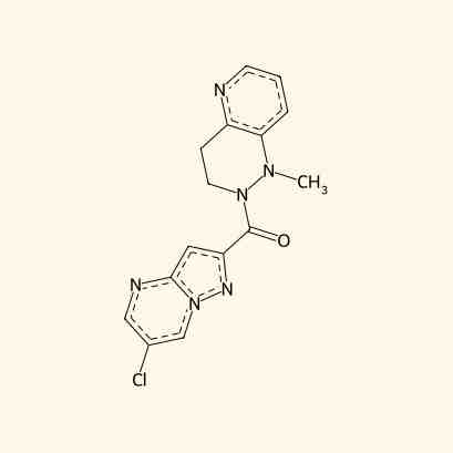 CN1c2cccnc2CCN1C(=O)c1cc2ncc(Cl)cn2n1